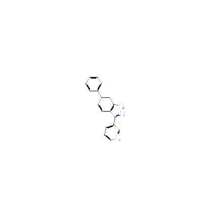 C1=CC(c2ccccc2)Cc2[nH]nc(-c3cccnc3)c21